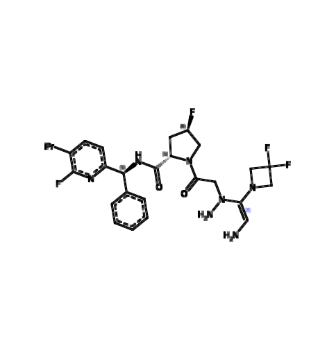 CC(C)c1ccc([C@@H](NC(=O)[C@@H]2C[C@@H](F)CN2C(=O)CN(N)/C(=C\N)N2CC(F)(F)C2)c2ccccc2)nc1F